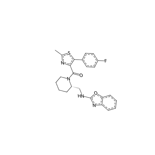 Cc1nc(C(=O)N2CCCC[C@H]2CNc2nc3ccccc3o2)c(-c2ccc(F)cc2)s1